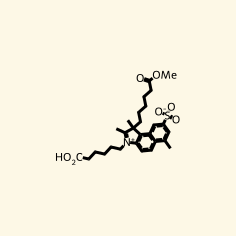 COC(=O)CCCCCC1(C)C(C)=[N+](CCCCCC(=O)O)c2ccc3c(C)cc(S(=O)(=O)[O-])cc3c21